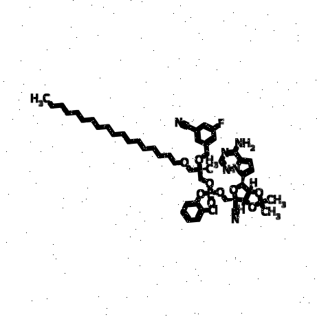 CCCCCCCCCCCCCCCCCCOC[C@](C)(COP(=O)(OC[C@@]1(C#N)O[C@@H](c2ccc3c(N)ncnn23)[C@@H]2OC(C)(C)O[C@@H]21)Oc1ccccc1Cl)OCc1cc(F)cc(C#N)c1